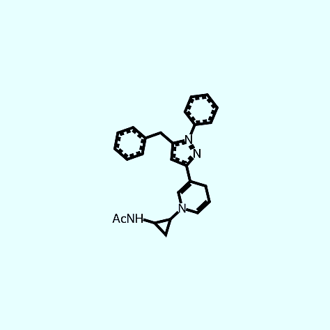 CC(=O)NC1CC1N1C=CCC(c2cc(Cc3ccccc3)n(-c3ccccc3)n2)=C1